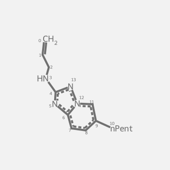 C=CCNc1nc2ccc(CCCCC)cn2n1